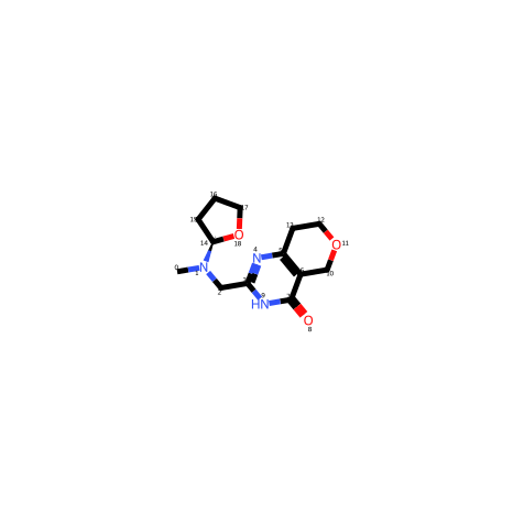 CN(Cc1nc2c(c(=O)[nH]1)COCC2)[C@H]1CCCO1